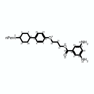 CCCCCC1CCC(c2ccc(OCCCOC(=O)c3cc(N)cc(N)c3)cc2)CC1